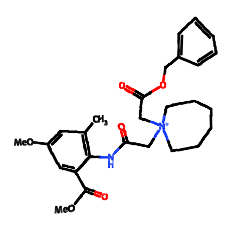 COC(=O)c1cc(OC)cc(C)c1NC(=O)C[N+]1(CC(=O)OCc2ccccc2)CCCCCC1